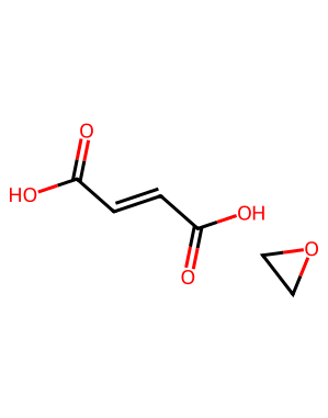 C1CO1.O=C(O)C=CC(=O)O